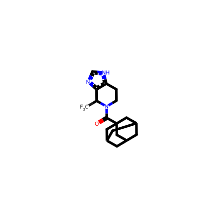 O=C(N1CCc2[nH]cnc2C1C(F)(F)F)C12CC3CC(CC(C3)C1)C2